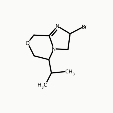 CC(C)C1COCC2=NC(Br)CN21